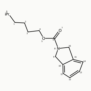 CC(C)CCCCOC(=O)N1Cc2ccccc2C1